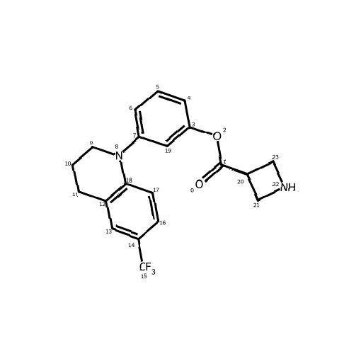 O=C(Oc1cccc(N2CCCc3cc(C(F)(F)F)ccc32)c1)C1CNC1